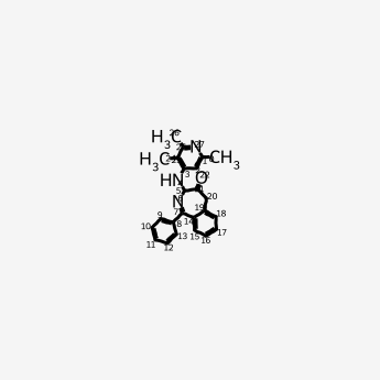 Cc1cc(NC2N=C(c3ccccc3)c3ccccc3CC2=O)c(C)c(C)n1